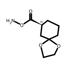 NOC(=O)[C@H]1CCCC2(C1)OCCO2